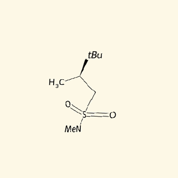 CNS(=O)(=O)C[C@@H](C)C(C)(C)C